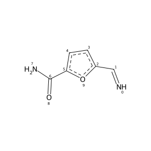 N=Cc1ccc(C(N)=O)o1